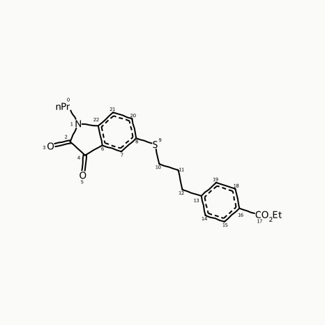 CCCN1C(=O)C(=O)c2cc(SCCCc3ccc(C(=O)OCC)cc3)ccc21